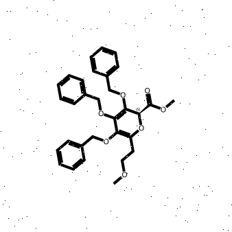 COCCC1=C(OCc2ccccc2)C(OCc2ccccc2)=C(OCc2ccccc2)[C@@H](C(=O)OC)O1